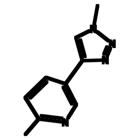 Cc1ccc(-c2cn(C)nn2)cn1